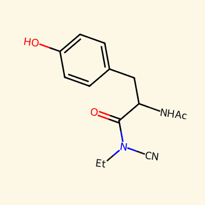 CCN(C#N)C(=O)C(Cc1ccc(O)cc1)NC(C)=O